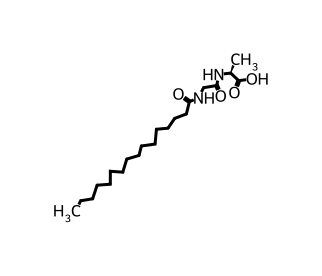 CCCCCCCCCCCCCCCC(=O)NCC(=O)N[C@@H](C)C(=O)O